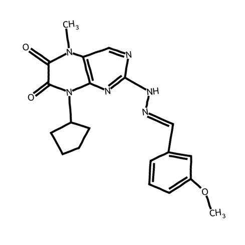 COc1cccc(C=NNc2ncc3c(n2)n(C2CCCC2)c(=O)c(=O)n3C)c1